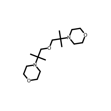 CC(C)(COCC(C)(C)N1CCOCC1)N1CCOCC1